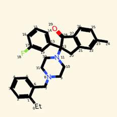 CCc1ccccc1CN1CCN(C2(c3cccc(F)c3)Cc3cc(C)ccc3C2=O)CC1